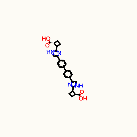 O=C(O)C1CCC1c1nc(-c2ccc(-c3ccc(-c4c[nH]c(C5CC[C@H]5C(=O)O)n4)cc3)cc2)c[nH]1